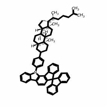 CC(C)CCC[C@@H](C)[C@H]1CC[C@H]2[C@@H]3CC[C@H]4CC(c5ccc(-n6c7ccccc7c7ccc8c(c76)-c6ccccc6C86c7ccccc7-c7ccccc76)cc5)CC[C@]4(C)[C@H]3CC[C@]12C